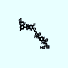 COc1cnc2c(-c3nc4cc(F)c(OCCOC(=O)Nc5ccc(C(=O)NCC6(CO)CCC6)nc5)nc4s3)cc(C)cc2n1